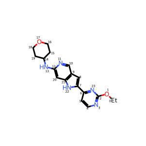 CCOc1nccc(-c2cc3cnc(NC4CCOCC4)cc3[nH]2)n1